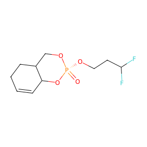 O=[P@]1(OCCC(F)F)OCC2CCC=CC2O1